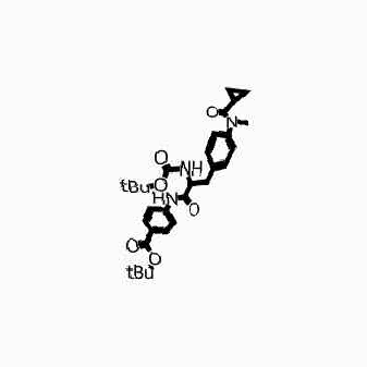 CN(C(=O)C1CC1)c1ccc(CC(NC(=O)OC(C)(C)C)C(=O)Nc2ccc(C(=O)OC(C)(C)C)cc2)cc1